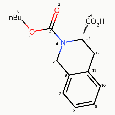 CCCCOC(=O)N1Cc2ccccc2C[C@H]1C(=O)O